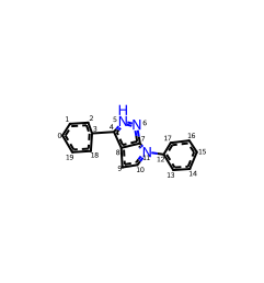 c1ccc(-c2[nH]nc3c2ccn3-c2ccccc2)cc1